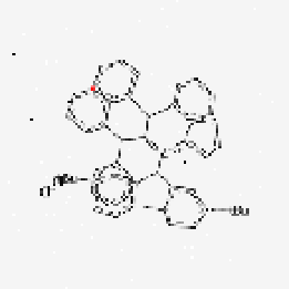 CC(C)(C)c1ccc2c(c1)[CH]([Zr+2]([C]1=CC=CC1)=[C](C(c1ccccc1)c1ccccc1)C(c1ccccc1)c1ccccc1)c1cc(C(C)(C)C)ccc1-2.[Cl-].[Cl-]